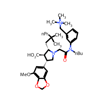 CCCCN(C(=O)CN1C[C@H](c2cc(OC)c3c(c2)OCO3)[C@@H](C(=O)O)[C@@H]1CC(C)(C)CCC)c1cccc(C[N+](C)(C)C)c1